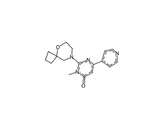 Cn1c(N2CCOC3(CCC3)C2)nc(-c2ccncc2)cc1=O